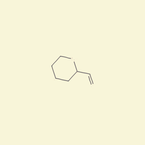 O=CC1CCCCN1